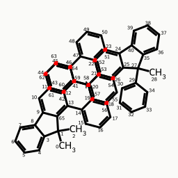 CC1(C)c2ccccc2-c2cccc(-c3ccccc3N(c3ccc4c(c3)C(C)(c3ccccc3)c3ccccc3-4)c3ccccc3-c3ccccc3-c3ccccc3-c3ccccc3)c21